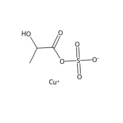 CC(O)C(=O)OS(=O)(=O)[O-].[Cu+]